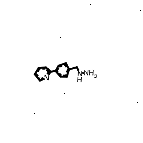 NNCc1ccc(-c2ccccn2)cc1